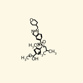 COC(O)c1ccc(N(CC(C)C)S(=O)(=O)c2ccc3c(cnn3CC3CCOCC3)c2)c(C)c1